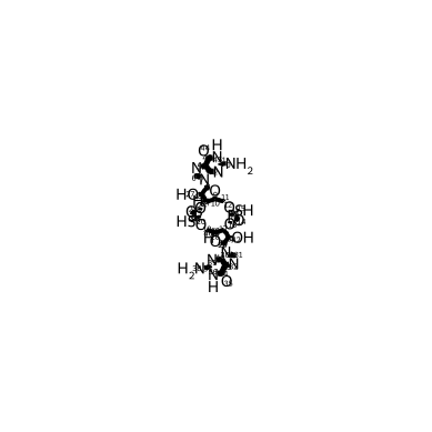 Nc1nc2c(ncn2C2OC3CO[P@@](=O)(S)OC4[C@@H](CO[P@@](=O)(S)O[C@@H]3C2O)O[C@@H](n2cnc3c(=O)[nH]c(N)nc32)[C@H]4O)c(=O)[nH]1